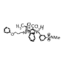 CNS(=O)(=O)c1cccc(Cn2c(C(=O)O)c(C(NCCCOc3ccccc3)C(C)O)c3ccccc32)c1